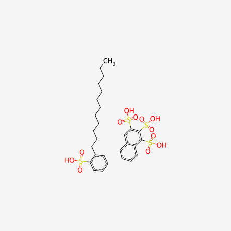 CCCCCCCCCCCCc1ccccc1S(=O)(=O)O.O=S(=O)(O)c1cc2ccccc2c(S(=O)(=O)O)c1S(=O)(=O)O